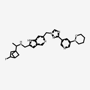 CC(NCc1cc2cnc(Cn3cnc(-c4cncc(N5CCCCO5)c4)n3)cc2[nH]1)C12CC(F)C(C1)C2